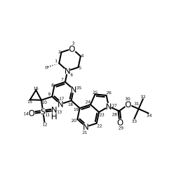 C[C@@H]1COCCN1c1cc(C2(S(C)(=N)=O)CC2)nc(-c2cncc3c2ccn3C(=O)OC(C)(C)C)n1